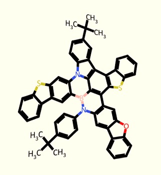 CC(C)(C)c1ccc(N2B3c4cc5c(cc4-n4c6ccc(C(C)(C)C)cc6c6c7c(sc8ccccc87)c(c3c64)-c3cc4oc6ccccc6c4cc32)sc2ccccc25)cc1